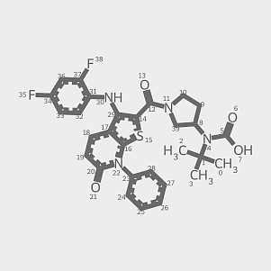 CC(C)(C)N(C(=O)O)C1CCN(C(=O)c2sc3c(ccc(=O)n3-c3ccccc3)c2Nc2ccc(F)cc2F)C1